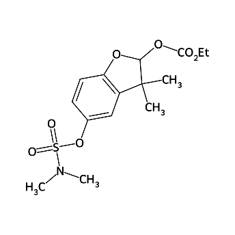 CCOC(=O)OC1Oc2ccc(OS(=O)(=O)N(C)C)cc2C1(C)C